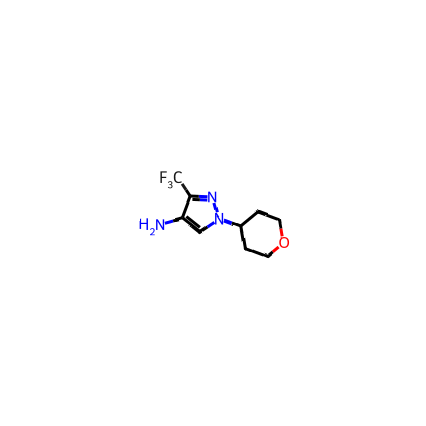 Nc1cn(C2CCOCC2)nc1C(F)(F)F